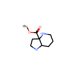 CC(C)(C)OC(=O)C12CC[N]C1CCCN2